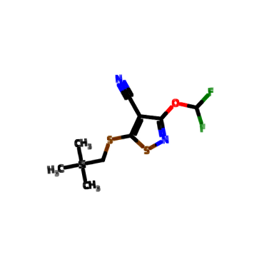 C[Si](C)(C)CSc1snc(OC(F)F)c1C#N